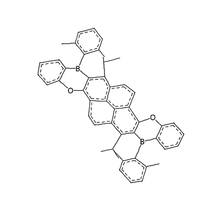 Cc1cccc(C)c1B1c2ccccc2Oc2c1c(C(C)C)c1ccc3c4c(c(C(C)C)c5ccc2c1c35)B(c1c(C)cccc1C)c1ccccc1O4